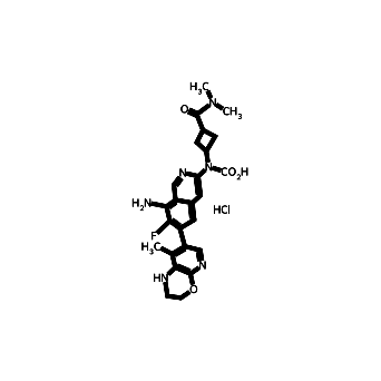 Cc1c(-c2cc3cc(N(C(=O)O)C4CC(C(=O)N(C)C)C4)ncc3c(N)c2F)cnc2c1NCCO2.Cl